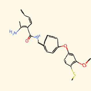 CC/C=C\C(C(=O)NCc1ccc(Oc2ccc(SC)c(OC)c2)cc1)=C(/C)N